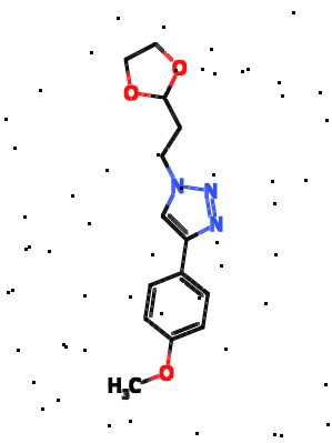 COc1ccc(-c2cn(CCC3OCCO3)nn2)cc1